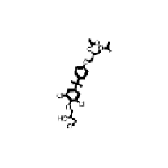 CC(=O)OC(COc1ccc(C(C)(C)c2cc(Cl)c(OCC(O)CCl)c(Cl)c2)cc1)COC(C)C